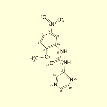 COc1ccc([N+](=O)[O-])cc1NC(=O)Nc1cnccn1